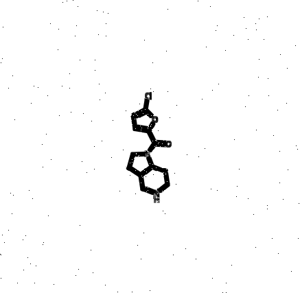 O=C(c1ccc(Cl)o1)N1CCC2CNCCC21